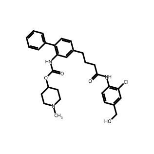 CN1CCC(OC(=O)Nc2cc(CCCC(=O)Nc3ccc(CO)cc3Cl)ccc2-c2ccccc2)CC1